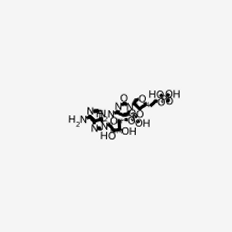 Nc1ccn([C@@H]2CO[C@H](CCOP(=O)(O)O)C2OP(=O)(O)OC[C@H]2O[C@@H](n3cnc4c(N)ncnc43)[C@H](O)[C@@H]2O)c(=O)n1